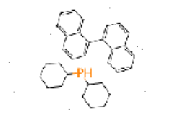 C1CCC(PC2CCCCC2)CC1.c1ccc2c(-c3cccc4ccccc34)cccc2c1